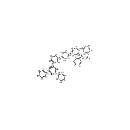 CC1(c2ccccc2)c2ccccc2-c2ccc(-c3ccc(-c4cccc(-c5nc(-c6ccccc6)nc(-c6ccccc6)n5)c4)cc3)cc21